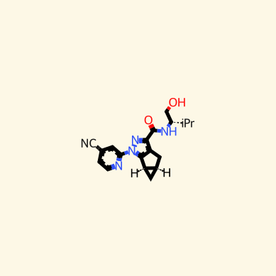 CC(C)[C@@H](CO)NC(=O)c1nn(-c2cc(C#N)ccn2)c2c1C[C@H]1C[C@@H]21